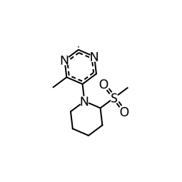 Cc1n[c]ncc1N1CCCCC1S(C)(=O)=O